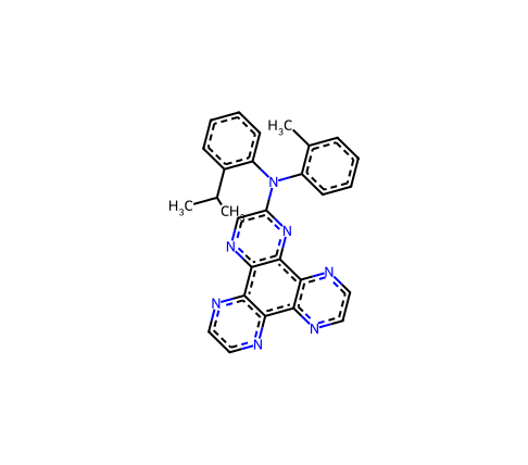 Cc1ccccc1N(c1cnc2c3nccnc3c3nccnc3c2n1)c1ccccc1C(C)C